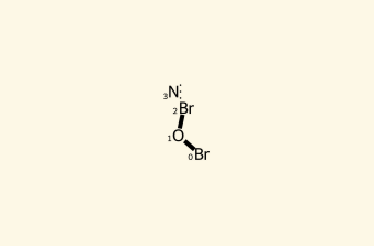 BrOBr.[N]